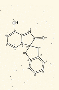 O=C1N=C2C(O)=CC=CN2C12Cc1ccccc1C2